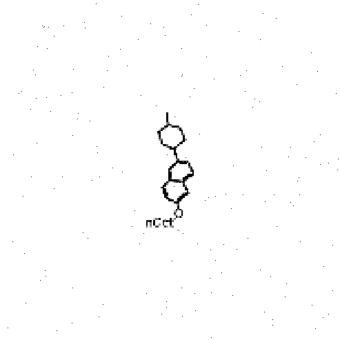 CCCCCCCCOc1ccc2cc(C3CCC(C)CC3)ccc2c1